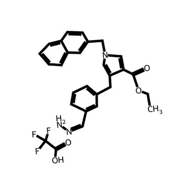 CCOC(=O)c1cn(Cc2ccc3ccccc3c2)cc1Cc1cccc(/C=N\N)c1.O=C(O)C(F)(F)F